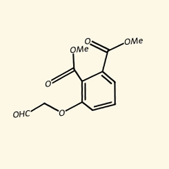 COC(=O)c1cccc(OCC=O)c1C(=O)OC